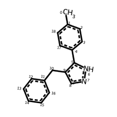 Cc1ccc(-c2[nH]n[c]c2Cc2ccccc2)cc1